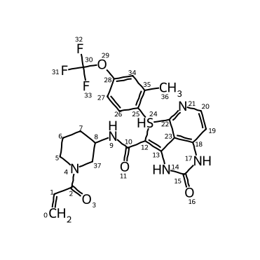 C=CC(=O)N1CCCC(NC(=O)C2=C3NC(=O)Nc4ccnc(c43)[SH]2c2ccc(OC(F)(F)F)cc2C)C1